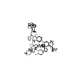 COC(=O)c1cc(Oc2nc(-c3ccc4c(c3)N(C3CC(N5CCC(C)(C)C5)C3)C(=O)C43CCN(C(=O)OC(C)(C)C)CC3)cc3ncn(C(C)C)c23)ccc1C